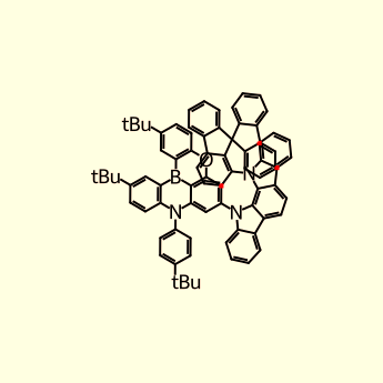 CC(C)(C)c1ccc(N2c3ccc(C(C)(C)C)cc3B3c4cc(C(C)(C)C)ccc4Oc4cc(-n5c6ccccc6c6ccc7c8ccccc8n(-c8cccc9c8C8(c%10ccccc%10-c%10ccccc%108)c8ccccc8-9)c7c65)cc2c43)cc1